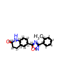 Cc1ccccc1-c1noc(-c2ccc3c(c2)CCC(=O)N3)n1